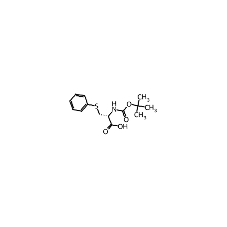 CC(C)(C)OC(=O)N[C@@H](CSc1ccccc1)C(=O)O